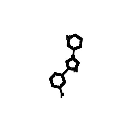 Fc1cccc(-c2cn(-c3cccnc3)cn2)c1